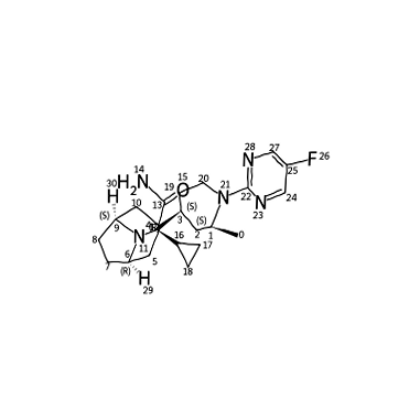 C[C@H]1C[C@@H](C2C[C@H]3CC[C@@H](C2)N3[C@@H](C(N)=O)C2CC2)CCN1c1ncc(F)cn1